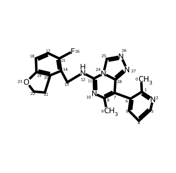 Cc1ncccc1-c1c(C)nc(NCc2c(F)ccc3c2CCO3)n2cnnc12